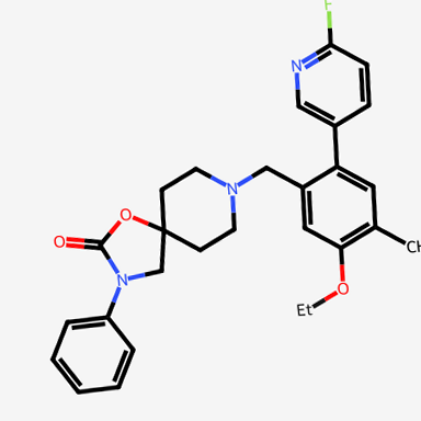 CCOc1cc(CN2CCC3(CC2)CN(c2ccccc2)C(=O)O3)c(-c2ccc(F)nc2)cc1C